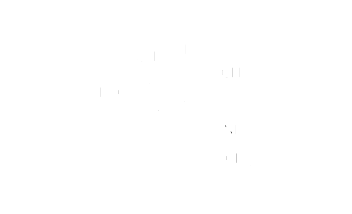 CNC1CC2C[C@H](C1C)C2(C)C